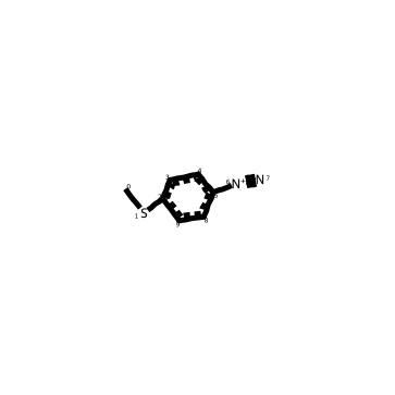 CSc1ccc([N+]#N)cc1